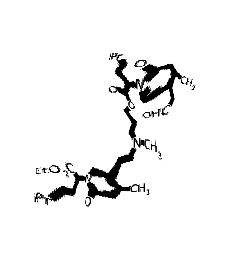 CCOC(=O)C(CCC(C)C)n1cc(CCN(C)CCCOC(=O)C(CCC(C)C)n2cc(CC=O)c(C)cc2=O)c(C)cc1=O